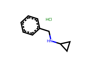 Cl.c1ccc(CNC2CC2)cc1